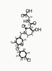 Cc1cc(CN2CCC(O)=C(C(=O)NCC(=O)O)C2=O)cnc1Oc1ccc(Cl)cc1